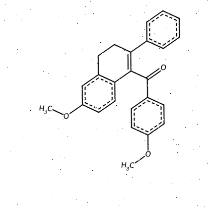 COc1ccc(C(=O)C2=C(c3ccccc3)CCc3cc(OC)ccc32)cc1